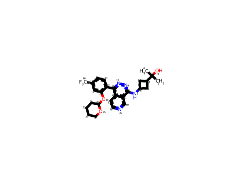 CC(C)(O)C1CC(Nc2nnc(-c3ccc(C(F)(F)F)cc3OC3CCCCO3)c3ccncc23)C1